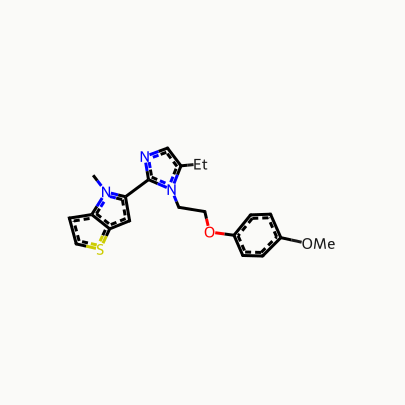 CCc1cnc(-c2cc3sccc3n2C)n1CCOc1ccc(OC)cc1